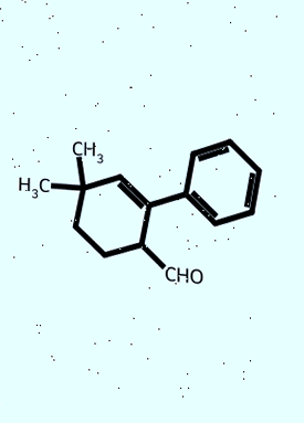 CC1(C)C=C(c2ccccc2)C(C=O)CC1